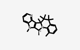 Cc1cccc2c1N1[C@@H](C)c3c(c4ncccc4n3C)C1(C)C(C)(C)C2(C)C